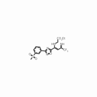 CCOC(=O)CN/C(=C\C(=N)C(F)(F)F)c1nc(-c2cccc(S(C)(=O)=O)c2)no1